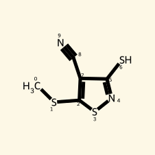 CSc1snc(S)c1C#N